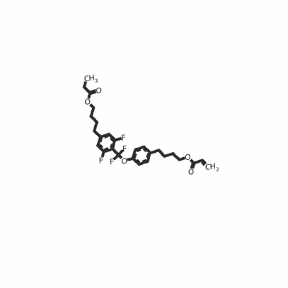 C=CC(=O)OCCCCc1ccc(OC(F)(F)c2c(F)cc(CCCCOC(=O)CC)cc2F)cc1